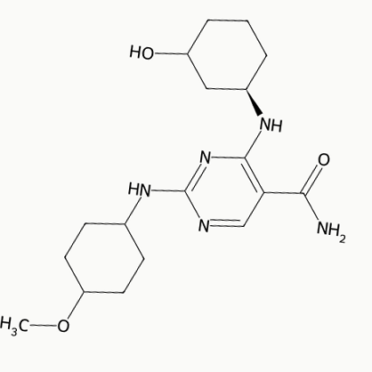 COC1CCC(Nc2ncc(C(N)=O)c(N[C@@H]3CCCC(O)C3)n2)CC1